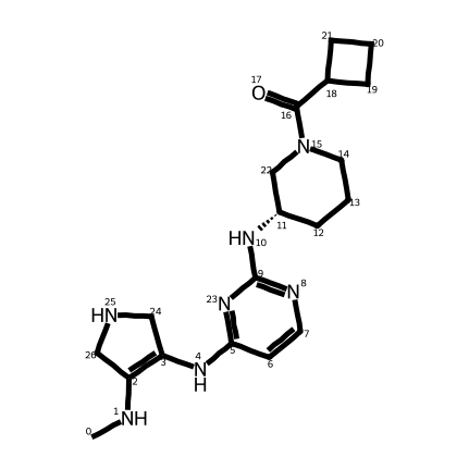 CNC1=C(Nc2ccnc(N[C@H]3CCCN(C(=O)C4CCC4)C3)n2)CNC1